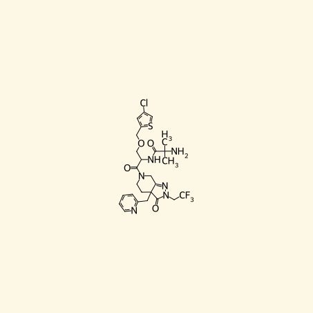 CC(C)(N)C(=O)NC(COCc1cc(Cl)cs1)C(=O)N1CCC2(Cc3ccccn3)C(=O)N(CC(F)(F)F)N=C2C1